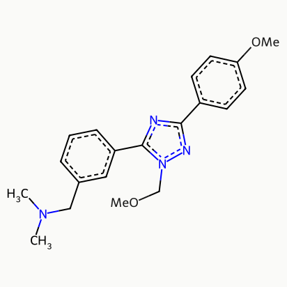 COCn1nc(-c2ccc(OC)cc2)nc1-c1cccc(CN(C)C)c1